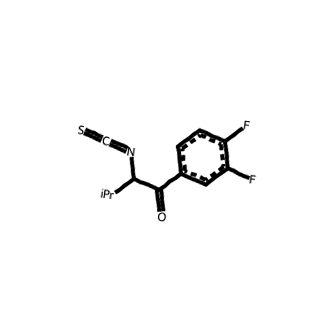 CC(C)C(N=C=S)C(=O)c1ccc(F)c(F)c1